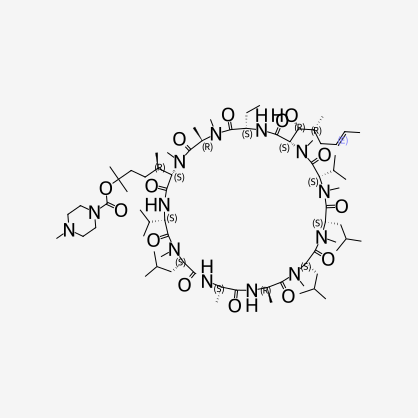 C/C=C/C[C@@H](C)[C@@H](O)[C@H]1C(=O)N[C@@H](CC)C(=O)N(C)[C@H](C)C(=O)N(C)[C@@H]([C@H](C)CCC(C)(C)OC(=O)N2CCN(C)CC2)C(=O)N[C@@H](C(C)C)C(=O)N(C)[C@@H](CC(C)C)C(=O)N[C@@H](C)C(=O)N[C@H](C)C(=O)N(C)[C@@H](CC(C)C)C(=O)N(C)[C@@H](CC(C)C)C(=O)N(C)[C@@H](C(C)C)C(=O)N1C